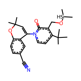 C[SiH](C)OCc1c(C(C)(C)C)ccn(C2=CC(C)(C)Oc3ccc(C#N)cc32)c1=O